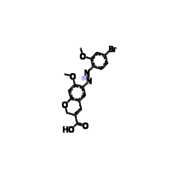 COc1cc(Br)ccc1/N=N/c1cc2c(cc1OC)OCC(C(=O)O)=C2